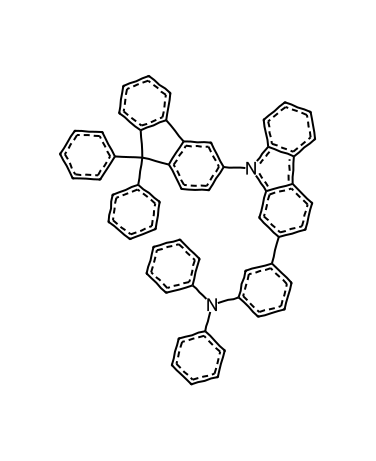 c1ccc(N(c2ccccc2)c2cccc(-c3ccc4c5ccccc5n(-c5ccc6c(c5)-c5ccccc5C6(c5ccccc5)c5ccccc5)c4c3)c2)cc1